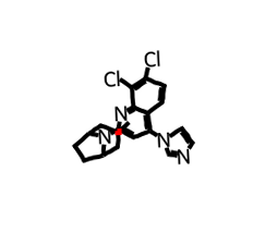 CC1CC2CCC(C1)N2c1cc(-n2ccnc2)c2ccc(Cl)c(Cl)c2n1